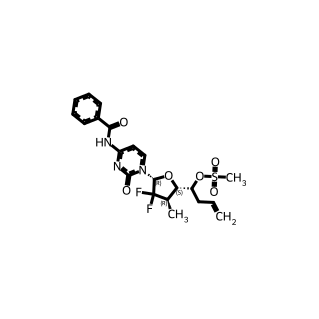 C=CCC(OS(C)(=O)=O)[C@H]1O[C@@H](n2ccc(NC(=O)c3ccccc3)nc2=O)C(F)(F)[C@@H]1C